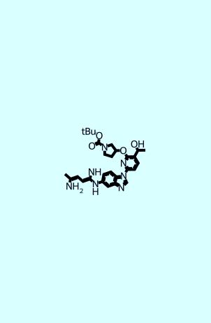 C/C(N)=C/C=C(\N)Nc1ccc2c(c1)ncn2-c1ccc(C(C)O)c(OC2CCN(C(=O)OC(C)(C)C)C2)n1